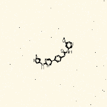 COc1cncc(NC(=O)Cc2ccc(-c3cnc(Nc4cnn(C)c4)nc3)cc2)c1